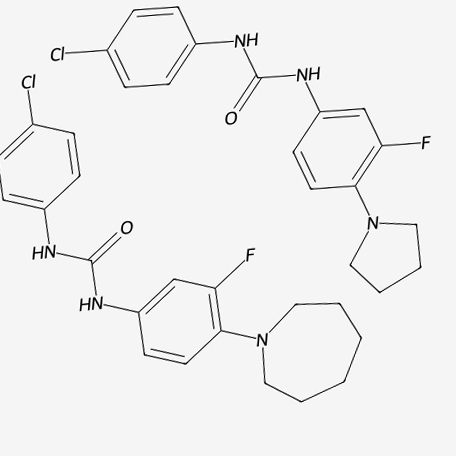 O=C(Nc1ccc(Cl)cc1)Nc1ccc(N2CCCC2)c(F)c1.O=C(Nc1ccc(Cl)cc1)Nc1ccc(N2CCCCCC2)c(F)c1